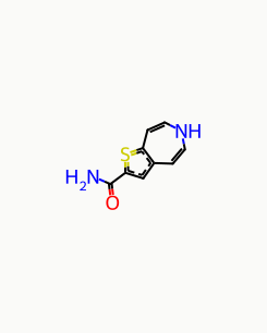 NC(=O)c1cc2c(s1)C=CNC=C2